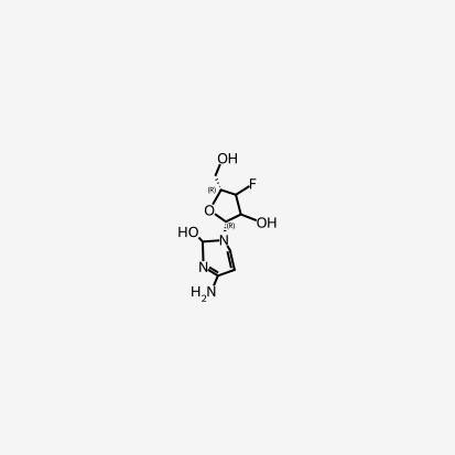 NC1=NC(O)N([C@@H]2O[C@H](CO)C(F)C2O)C=C1